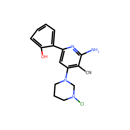 N#Cc1c(N2CCCN(Cl)C2)cc(-c2ccccc2O)nc1N